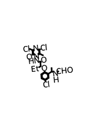 CCC(Oc1ccc(Cl)cc1C(C)NC=O)C(=O)Nn1c(C)c(Cl)nc(Cl)c1=O